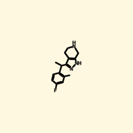 Cc1cc(F)ccc1C(C)c1n[nH]c2c1CCNC2